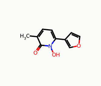 Cc1ccc(-c2ccoc2)n(O)c1=O